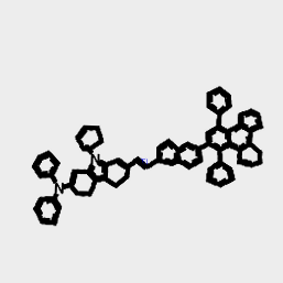 C1=CCCC(n2c3c(c4c2C=C(N(c2ccccc2)c2ccccc2)CC4)CCC(/C=C/c2ccc4cc(-c5cc(-c6ccccc6)c6c(c7c(c8ccccc86)CCC=C7)c5-c5ccccc5)ccc4c2)=C3)=C1